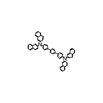 c1ccc2ccc(N(c3ccc(-c4ccc(-c5ccc(N(c6ccc7ccccc7c6)c6ccc7ccccc7c6)cc5)cc4)cc3)c3ccc4ccccc4c3)cc2c#1